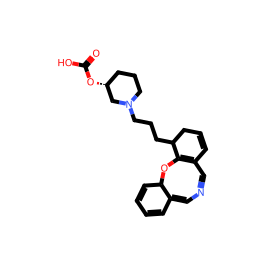 O=C(O)O[C@@H]1CCCN(CCCC2CC=CC3=C2OC2C=CC=C/C2=C/N=C\3)C1